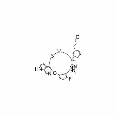 Cn1nc2nc1-c1cc(ccc1F)Oc1ncc3[nH]ccc3c1CCSCC(C)(C)CCC[C@]2(C)c1cccc(CCC=O)c1